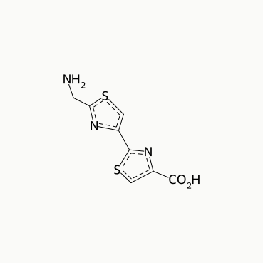 NCc1nc(-c2nc(C(=O)O)cs2)cs1